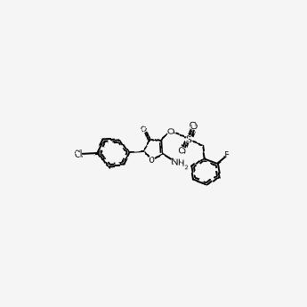 NC1=C(OS(=O)(=O)Cc2ccccc2F)C(=O)C(c2ccc(Cl)cc2)O1